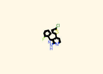 Fc1ccccc1-c1n[nH]c2nccc(-c3ccc(Cl)s3)c12